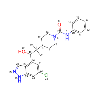 CC(C)(C1CCN(C(=O)Nc2ccccc2)CC1)C(O)c1cc(Cl)cc2[nH]ncc12